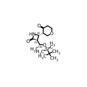 C[C@@H](O[Si](C)(C)C(C)(C)C)[C@H]1C(=O)N[C@@H]1C1COCCC1=O